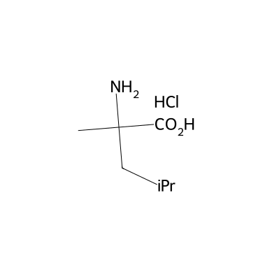 CC(C)CC(C)(N)C(=O)O.Cl